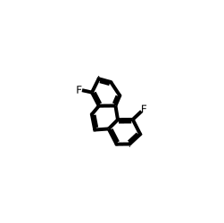 Fc1[c]ccc2c1ccc1c[c]cc(F)c12